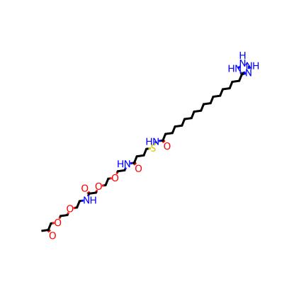 CC(=O)COCCOCCNC(=O)COCCOCCNC(=O)CCCSNC(=O)CCCCCCCCCCCCCCCCC1=NNNN1